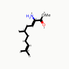 COC(=O)C(N)=CCC(C)CCC=C(C)C